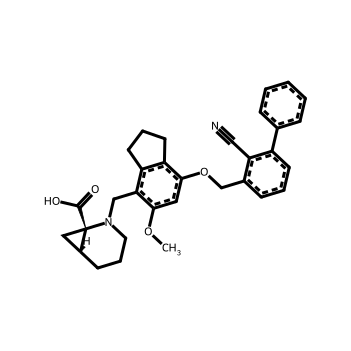 COc1cc(OCc2cccc(-c3ccccc3)c2C#N)c2c(c1CN1CCC[C@@H]3C[C@@]31C(=O)O)CCC2